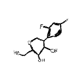 OCC1OCC(c2ccc(F)cc2F)C(O)C1O